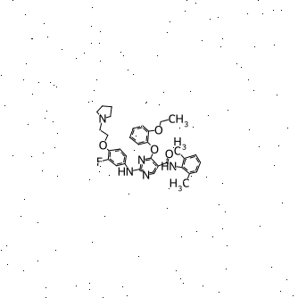 CCOc1ccccc1Oc1nc(Nc2ccc(OCCN3CCCC3)c(F)c2)ncc1C(=O)Nc1c(C)cccc1C